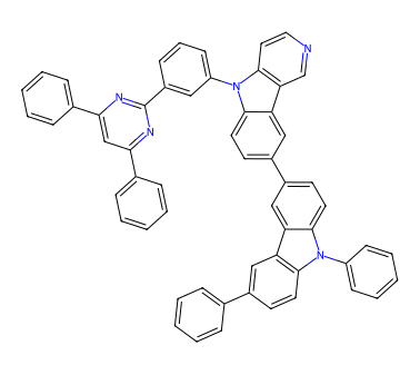 c1ccc(-c2ccc3c(c2)c2cc(-c4ccc5c(c4)c4cnccc4n5-c4cccc(-c5nc(-c6ccccc6)cc(-c6ccccc6)n5)c4)ccc2n3-c2ccccc2)cc1